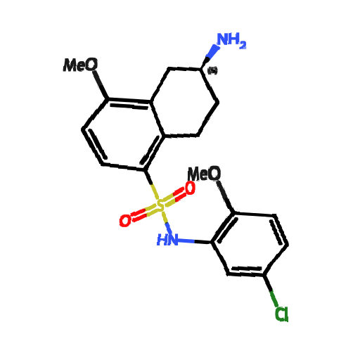 COc1ccc(Cl)cc1NS(=O)(=O)c1ccc(OC)c2c1CC[C@H](N)C2